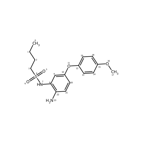 CCCCS(=O)(=O)Nc1cc(Oc2ccc(OC)cc2)ccc1N